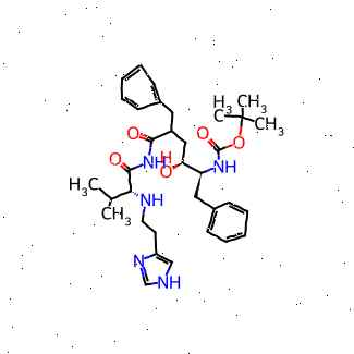 CC(C)[C@@H](NCCc1c[nH]cn1)C(=O)NC(=O)C(Cc1ccccc1)C[C@H](O)[C@H](Cc1ccccc1)NC(=O)OC(C)(C)C